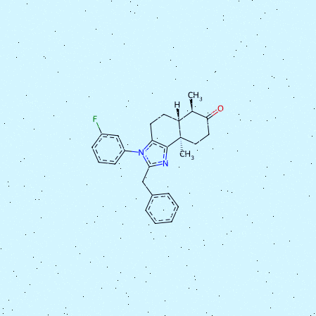 C[C@H]1C(=O)CC[C@@]2(C)c3nc(Cc4ccccc4)n(-c4cccc(F)c4)c3CC[C@H]12